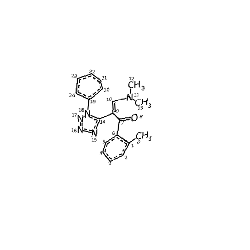 Cc1ccccc1C(=O)C(=CN(C)C)c1nnnn1-c1ccccc1